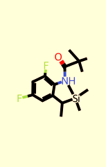 CC(c1cc(F)cc(F)c1NC(=O)C(C)(C)C)[Si](C)(C)C